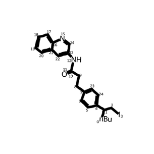 CCCCC(CI)c1ccc(CCC(=O)Nc2cnc3ccccc3c2)cc1